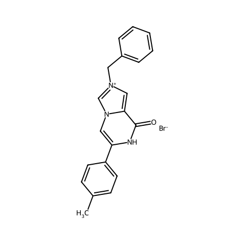 Cc1ccc(-c2cn3c[n+](Cc4ccccc4)cc3c(=O)[nH]2)cc1.[Br-]